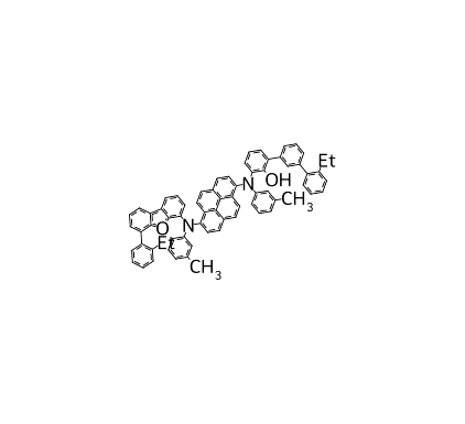 CCc1ccccc1-c1cccc(-c2cccc(N(c3cccc(C)c3)c3ccc4ccc5c(N(c6cccc(C)c6)c6cccc7c6oc6c(-c8ccccc8CC)cccc67)ccc6ccc3c4c65)c2O)c1